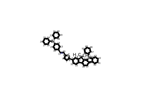 CC1(C)c2cc(-c3ccc(/C=C/c4ccc(N(c5ccccc5)c5ccccc5)cc4)s3)ccc2-c2ccc3c4ccccc4n(-c4ccccc4)c3c21